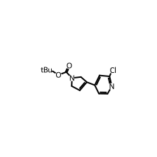 CC(C)(C)OC(=O)N1CC=C(c2ccnc(Cl)c2)C1